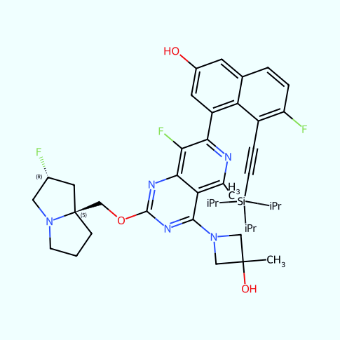 Cc1nc(-c2cc(O)cc3ccc(F)c(C#C[Si](C(C)C)(C(C)C)C(C)C)c23)c(F)c2nc(OC[C@@]34CCCN3C[C@H](F)C4)nc(N3CC(C)(O)C3)c12